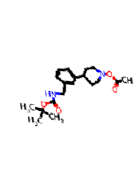 CC(=O)ON1CCC(c2cccc(CNC(=O)OC(C)(C)C)c2)CC1